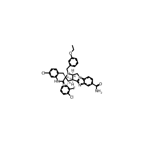 CCOc1cccc(CN2[C@H]3Cn4c(nc5cc(C(N)=O)ccc54)[C@H]3[C@H](c3cccc(Cl)c3F)[C@@]23Cc2ccc(Cl)cc2NC3=O)c1